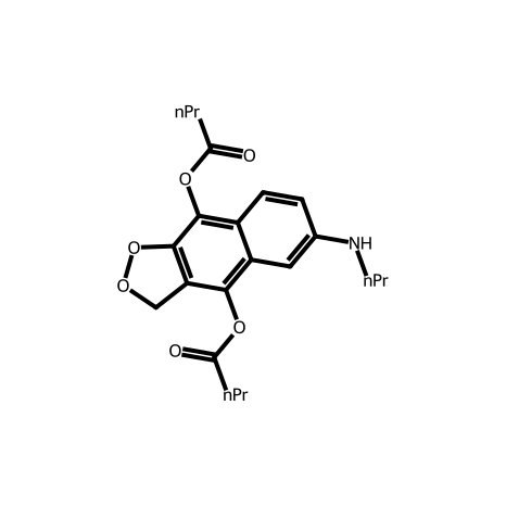 CCCNc1ccc2c(OC(=O)CCC)c3c(c(OC(=O)CCC)c2c1)COO3